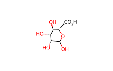 O=C(O)[C@H]1OC(O)[C@H](O)[C@H](O)[C@H]1O